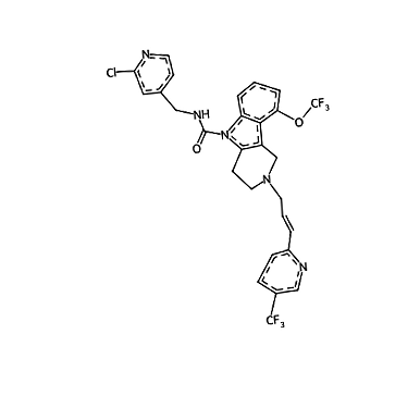 O=C(NCc1ccnc(Cl)c1)n1c2c(c3c(OC(F)(F)F)cccc31)CN(C/C=C/c1ccc(C(F)(F)F)cn1)CC2